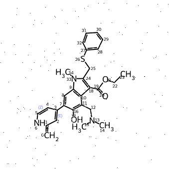 C=C/C=C(\C=C/N)c1cc2c(c(CN(C)C)c1O)c(C(=O)OCC)c(CSc1ccccc1)n2C